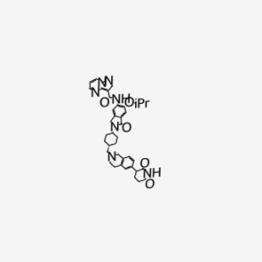 CC(C)Oc1cc2c(cc1NC(=O)c1cnn3cccnc13)CN([C@H]1CC[C@H](CN3CCc4cc(C5CCC(=O)NC5=O)ccc4C3)CC1)C2=O